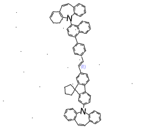 C1=CC2=C(CC1)N(c1ccc(-c3ccc(/C=C/c4ccc5c(c4)C4(CCCC4)c4cc(N6c7ccccc7C=Cc7ccccc76)ccc4-5)cc3)c3ccccc13)c1ccccc1C=C2